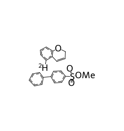 COS(=O)(=O)c1ccc(-c2ccccc2)cc1.[2H]c1cccc2c1C=CCO2